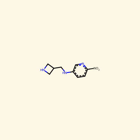 O=[N+]([O-])c1ccc(NCC2CNC2)cn1